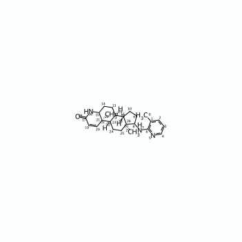 Cc1cccnc1NC1CC[C@H]2[C@@H]3CCC4NC(=O)C=C[C@]4(C)[C@@H]3CC[C@]12C